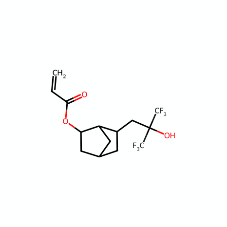 C=CC(=O)OC1CC2CC(CC(O)(C(F)(F)F)C(F)(F)F)C1C2